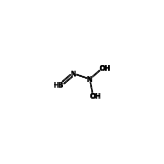 B=NN(O)O